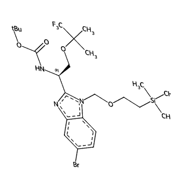 CC(C)(C)OC(=O)N[C@@H](COC(C)(C)C(F)(F)F)c1nc2cc(Br)ccc2n1COCC[Si](C)(C)C